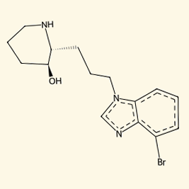 O[C@H]1CCCN[C@@H]1CCCn1cnc2c(Br)cccc21